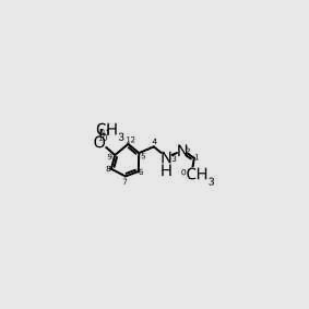 C/C=N\NCc1cccc(OC)c1